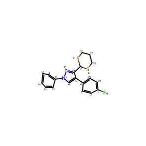 Fc1ccc(-c2cn(-c3ccccc3)nc2C2SCCCS2)cc1